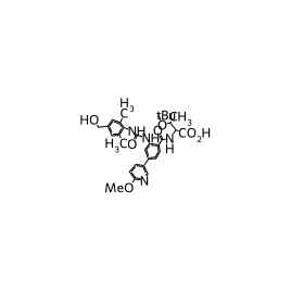 COc1ccc(-c2ccc(C(=O)NC(C(=O)O)C(C)OC(C)(C)C)c(NC(=O)Nc3c(C)cc(CO)cc3C)c2)cn1